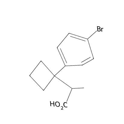 CC(C(=O)O)C1(c2ccc(Br)cc2)CCC1